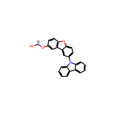 OBOc1ccc2oc3ccc(-n4c5ccccc5c5ccccc54)cc3c2c1